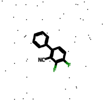 N#Cc1c(-c2ccccc2)ccc(F)c1F